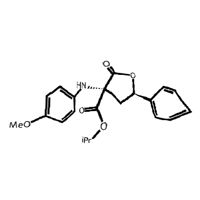 COc1ccc(N[C@@]2(C(=O)OC(C)C)C[C@H](c3ccccc3)OC2=O)cc1